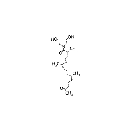 CC(=O)CCC=C(C)CCC=C(C)CCC=C(C)C(=O)N(CCO)CCO